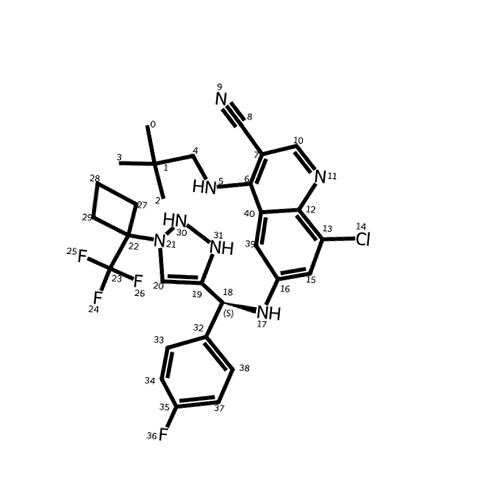 CC(C)(C)CNc1c(C#N)cnc2c(Cl)cc(N[C@H](C3=CN(C4(C(F)(F)F)CCC4)NN3)c3ccc(F)cc3)cc12